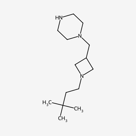 CC(C)(C)CCN1CC(CN2CCNCC2)C1